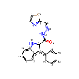 O=C(N/N=C\c1nccs1)c1[nH]c2ccccc2c1-c1ccccc1